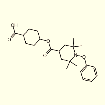 CC1(C)CC(C(=O)OC2CCC(C(=O)O)CC2)CC(C)(C)N1Oc1ccccc1